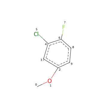 COc1[c]c(Cl)c(F)cc1